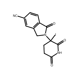 N#Cc1ccc2c(c1)CN(C1(I)CCC(=O)NC1=O)C2=O